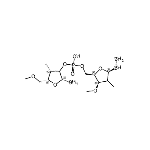 BB[C@@H]1O[C@H](COP(=O)(O)OC2[C@H](B)O[C@H](COC)[C@@H]2C)[C@H](OC)C1C